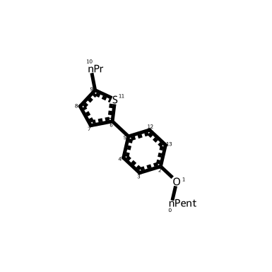 CCCCCOc1ccc(-c2ccc(CCC)s2)cc1